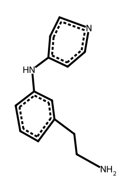 NCCc1cccc(Nc2ccncc2)c1